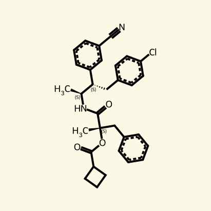 C[C@H](NC(=O)[C@](C)(Cc1ccccc1)OC(=O)C1CCC1)[C@@H](Cc1ccc(Cl)cc1)c1cccc(C#N)c1